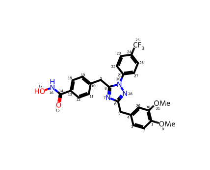 COc1ccc(Cc2nc(Cc3ccc(C(=O)NO)cc3)n(-c3ccc(C(F)(F)F)cc3)n2)cc1OC